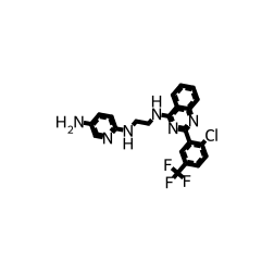 Nc1ccc(NCCNc2nc(-c3cc(C(F)(F)F)ccc3Cl)nc3ccccc23)nc1